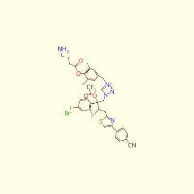 Cc1cc(C[n+]2cnn(CC(OC(=O)C(F)(F)F)(c3ccc(F)cc3F)C(C)Cc3nc(-c4ccc(C#N)cc4)cs3)c2)cc(C)c1OC(=O)CCCN.[Br-]